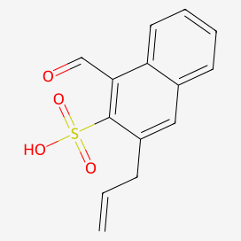 C=CCc1cc2ccccc2c(C=O)c1S(=O)(=O)O